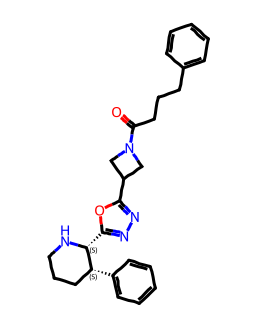 O=C(CCCc1ccccc1)N1CC(c2nnc([C@H]3NCCC[C@H]3c3ccccc3)o2)C1